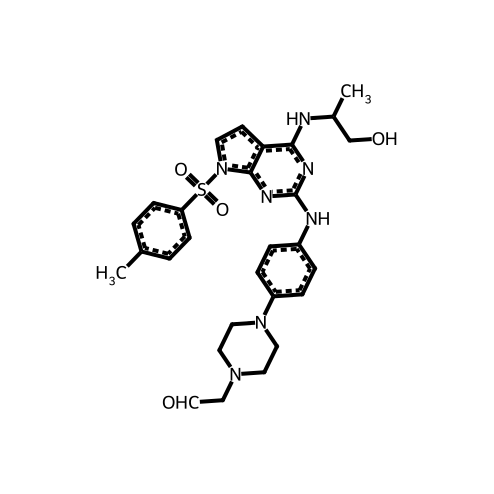 Cc1ccc(S(=O)(=O)n2ccc3c(NC(C)CO)nc(Nc4ccc(N5CCN(CC=O)CC5)cc4)nc32)cc1